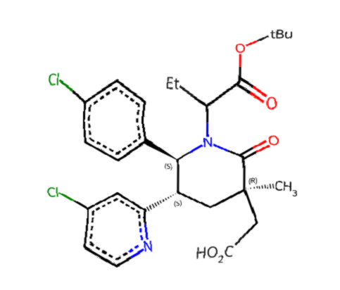 CCC(C(=O)OC(C)(C)C)N1C(=O)[C@@](C)(CC(=O)O)C[C@H](c2cc(Cl)ccn2)[C@H]1c1ccc(Cl)cc1